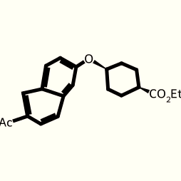 CCOC(=O)[C@H]1CC[C@@H](Oc2ccc3cc(C(C)=O)ccc3c2)CC1